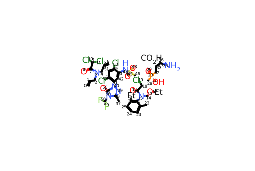 C=CCN(CC=C)C(=O)C(Cl)Cl.CCOCN(C(=O)CCl)c1c(C)cccc1CC.CP(=O)(O)CCC(N)C(=O)O.Cc1nn(-c2cc(NS(C)(=O)=O)c(Cl)cc2Cl)c(=O)n1C(F)F